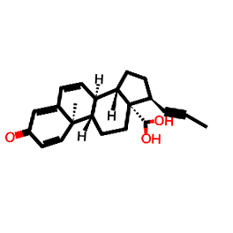 CC#C[C@@H]1CC[C@H]2[C@@H]3C=CC4=CC(=O)C=C[C@]4(C)[C@H]3CC[C@]12C(O)O